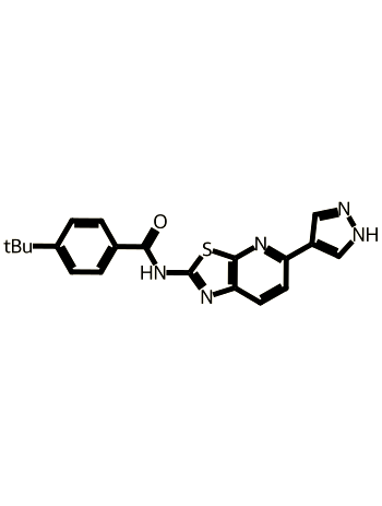 CC(C)(C)c1ccc(C(=O)Nc2nc3ccc(-c4cn[nH]c4)nc3s2)cc1